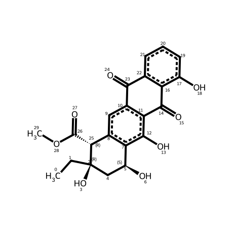 CC[C@@]1(O)C[C@H](O)c2c(cc3c(c2O)C(=O)c2c(O)cccc2C3=O)[C@H]1C(=O)OC